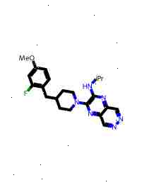 COc1ccc(CC2CCN(c3nc4cnncc4nc3NC(C)C)CC2)c(F)c1